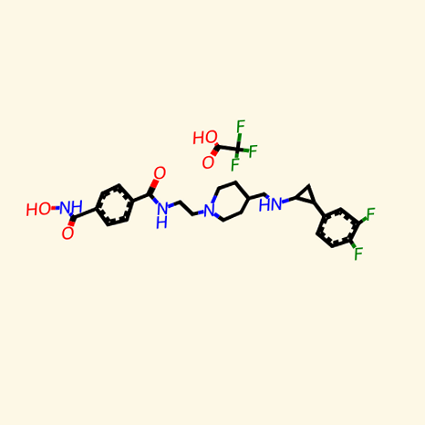 O=C(NO)c1ccc(C(=O)NCCN2CCC(CNC3CC3c3ccc(F)c(F)c3)CC2)cc1.O=C(O)C(F)(F)F